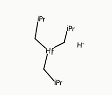 CC(C)[CH2][Hf]([CH2]C(C)C)[CH2]C(C)C.[H-]